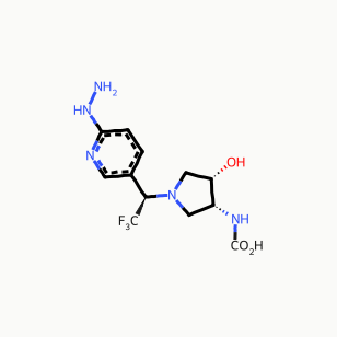 NNc1ccc([C@@H](N2C[C@H](O)[C@H](NC(=O)O)C2)C(F)(F)F)cn1